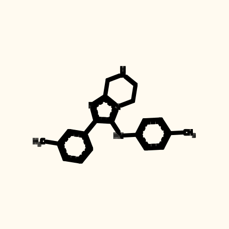 Cc1ccc(Nc2c(-c3cccc(C)c3)nc3n2CCNC3)cc1